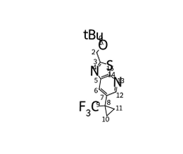 CC(C)(C)OCc1nc2cc(C3(C(F)(F)F)CC3)cnc2s1